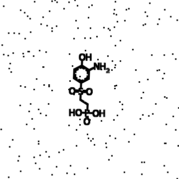 Nc1cc(S(=O)(=O)CCP(=O)(O)O)ccc1O